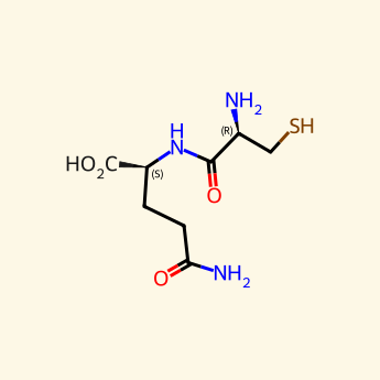 NC(=O)CC[C@H](NC(=O)[C@@H](N)CS)C(=O)O